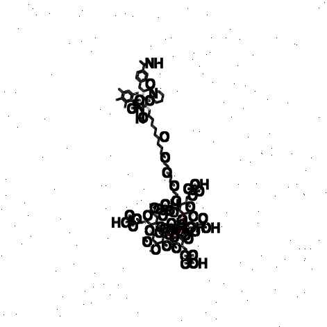 COC1[C@@H](OC)[C@H](O[C@H]2[C@H](OC)[C@@H](OS(=O)(=O)O)[C@@H](OC)O[C@@H]2COS(=O)(=O)O)O[C@@H](C(=O)O)[C@H]1O[C@H]1O[C@H](COS(=O)(=O)O)[C@@H](O[C@@H]2O[C@H](C(=O)O)[C@@H](O[C@H]3O[C@H](COS(=O)(=O)O)[C@@H](OCCOCCOCCOCCCC(=O)CCCCC(=O)C[C@H](NS(=O)(=O)c4c(C)cc(C)c(C)c4C)C(=O)C[C@H](Cc4ccc(C(C)=N)cc4)C(=O)N4CCCCC4)[C@H](OC)[C@H]3OC)[C@H](OC)[C@H]2OC)[C@H](OS(=O)(=O)O)[C@H]1OS(=O)(=O)O